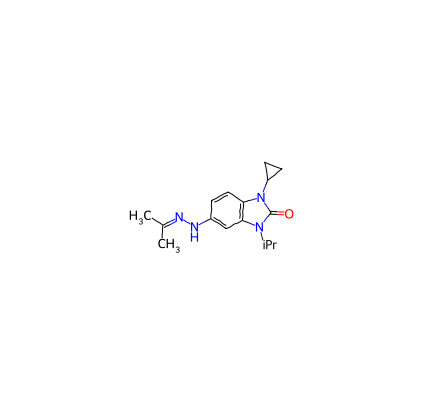 CC(C)=NNc1ccc2c(c1)n(C(C)C)c(=O)n2C1CC1